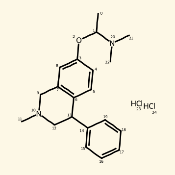 CC(Oc1ccc2c(c1)CN(C)CC2c1ccccc1)N(C)C.Cl.Cl